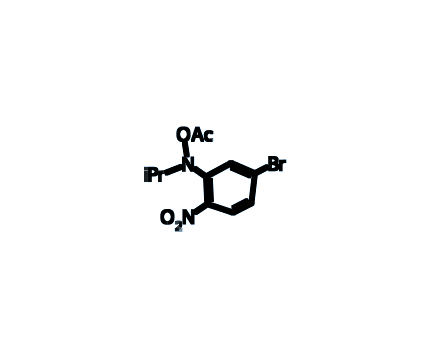 CC(=O)ON(c1cc(Br)ccc1[N+](=O)[O-])C(C)C